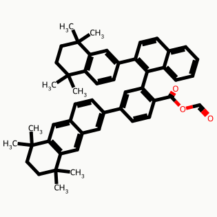 CC1(C)CCC(C)(C)c2cc(-c3ccc4ccccc4c3-c3cc(-c4ccc5cc6c(cc5c4)C(C)(C)CCC6(C)C)ccc3C(=O)OC=O)ccc21